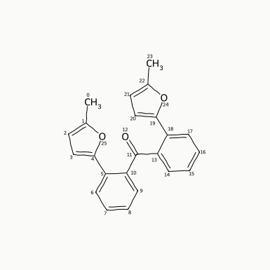 Cc1ccc(-c2ccccc2C(=O)c2ccccc2-c2ccc(C)o2)o1